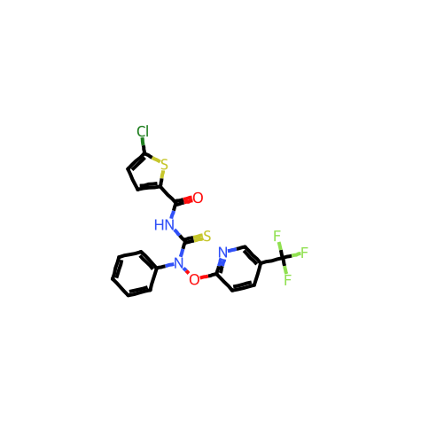 O=C(NC(=S)N(Oc1ccc(C(F)(F)F)cn1)c1ccccc1)c1ccc(Cl)s1